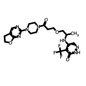 CC(COCCC(=O)N1CCN(c2ncc3c(n2)OCC3)CC1)Nc1cn[nH]c(=O)c1C(F)(F)F